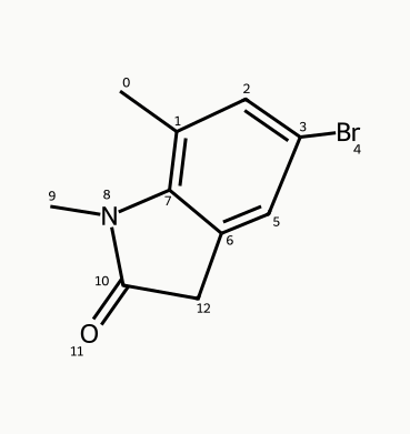 Cc1cc(Br)cc2c1N(C)C(=O)C2